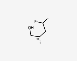 C[C@H](CO)CC(F)F